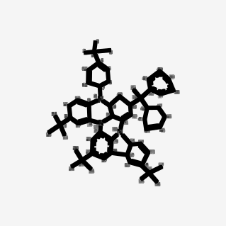 CC(C)(C)C1=CCC(N2C3=CCC(C(C)(C)C)C=C3B3c4cc(C(C)(C)C)cc5c4N(C4=CC(C(C)(c6ccccc6)C6CC=CCC6)CC2C34)C2C=CC(C(C)(C)C)=CC52)C=C1